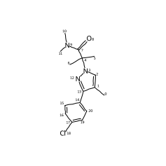 Cc1cn(C(C)(C)C(=O)N(C)C)nc1-c1ccc(Cl)cc1